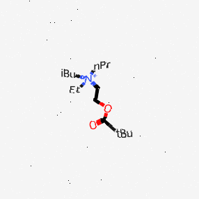 CCC[N+](CC)(CCOC(=O)C(C)(C)C)C(C)CC